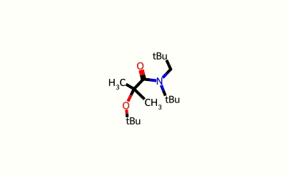 CC(C)(C)CN(C(=O)C(C)(C)OC(C)(C)C)C(C)(C)C